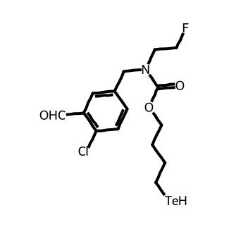 O=Cc1cc(CN(CCF)C(=O)OCCCC[TeH])ccc1Cl